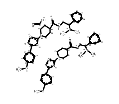 COc1ccc(-c2noc(N3CCC(C(=O)NCC(c4ccccc4)N(C)C)CC3)n2)cc1.COc1ccc(-c2noc(N3CCC(C(=O)NCC(c4ccccc4)N(C)C)CC3)n2)cc1.O=CO